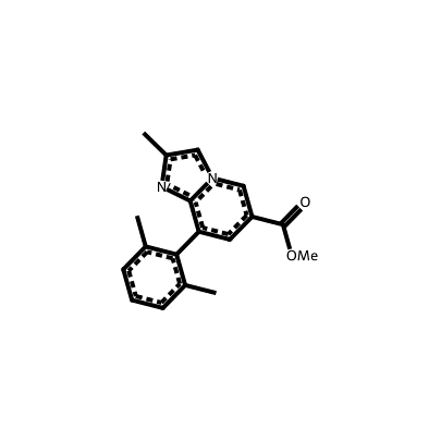 COC(=O)c1cc(-c2c(C)cccc2C)c2nc(C)cn2c1